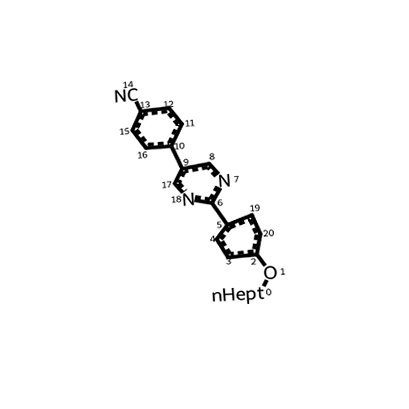 CCCCCCCOc1ccc(-c2ncc(-c3ccc(C#N)cc3)cn2)cc1